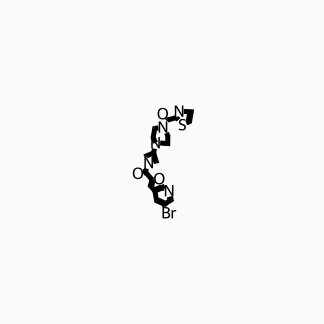 O=C(c1cc2cc(Br)cnc2o1)N1CC(N2CCN(C(=O)c3nccs3)CC2)C1